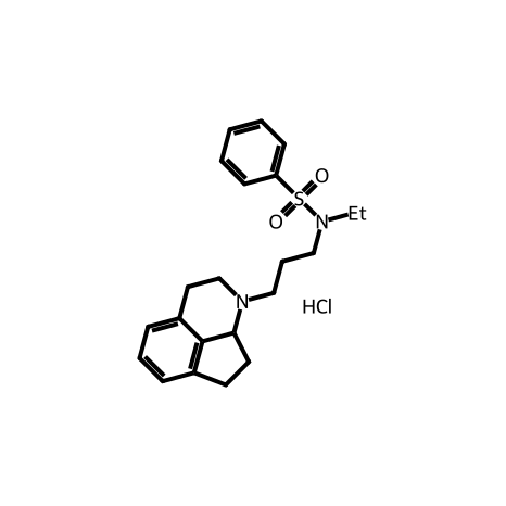 CCN(CCCN1CCc2cccc3c2C1CC3)S(=O)(=O)c1ccccc1.Cl